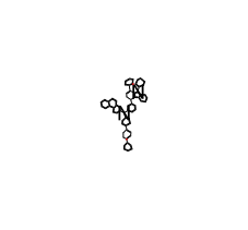 C1=C(c2ccccc2)CCC(c2ccc(N(c3cccc(C4CC=C(c5ccccc5)c5c4c4ccccc4n5-c4ccccc4)c3)c3ccc4c(ccc5ccccc54)c3)cc2)=C1